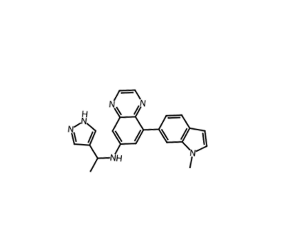 CC(Nc1cc(-c2ccc3ccn(C)c3c2)c2nccnc2c1)c1cn[nH]c1